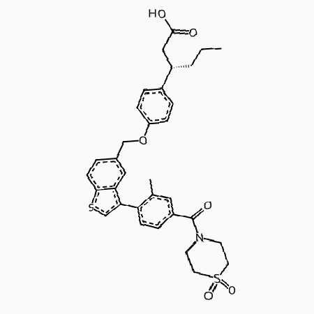 CCC[C@@H](CC(=O)O)c1ccc(OCc2ccc3scc(-c4ccc(C(=O)N5CCS(=O)(=O)CC5)cc4C)c3c2)cc1